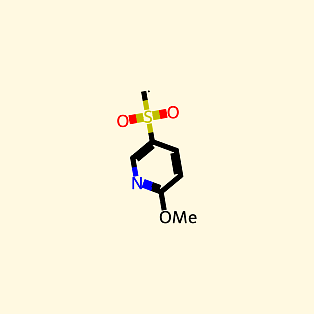 [CH2]S(=O)(=O)c1ccc(OC)nc1